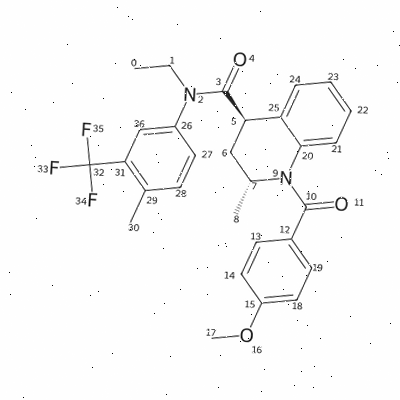 CCN(C(=O)[C@@H]1C[C@@H](C)N(C(=O)c2ccc(OC)cc2)c2ccccc21)c1ccc(C)c(C(F)(F)F)c1